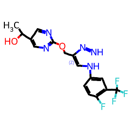 CC(O)c1cnc(OC/C(=C/Nc2ccc(F)c(C(F)(F)F)c2)N=N)nc1